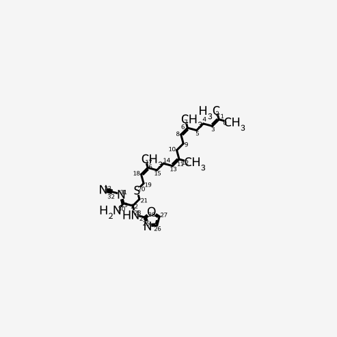 CC(C)=CCCC(C)=CCCC(C)=CCCC(C)=CCSCC(Nc1ncco1)/C(N)=N/C#N